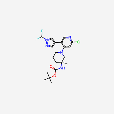 CC(C)(C)OC(=O)N[C@@]1(C)CCCN(c2cc(Cl)ncc2-c2cnn(C(F)F)c2)C1